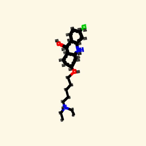 CCN(CC)CCCCCOc1ccc2c(=O)c3ccc(Cl)cc3[nH]c2c1